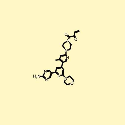 C=CC(=O)C(=O)N1CCN(c2cc(C)c(-c3cc(-c4cnc(N)nc4)nc(N4CCOCC4)c3)cn2)CC1